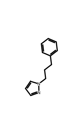 [c]1ccnn1CCCc1ccccc1